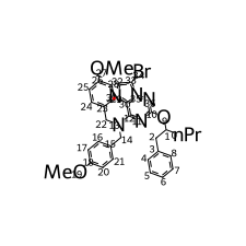 CCCC(Cc1ccccc1)Oc1nc(N(Cc2ccc(OC)cc2)Cc2ccc(OC)cc2)c2ncc(Br)n2n1